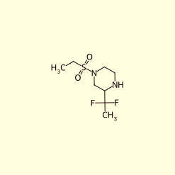 CCS(=O)(=O)N1CCNC(C(C)(F)F)C1